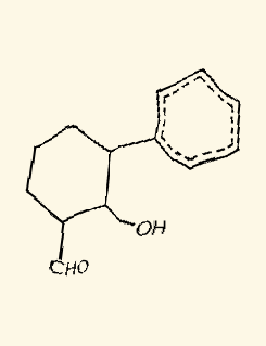 O=CC1CCCC(c2ccccc2)C1O